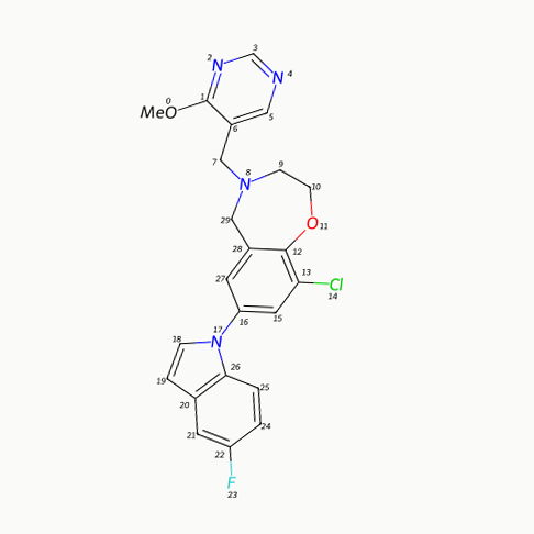 COc1ncncc1CN1CCOc2c(Cl)cc(-n3ccc4cc(F)ccc43)cc2C1